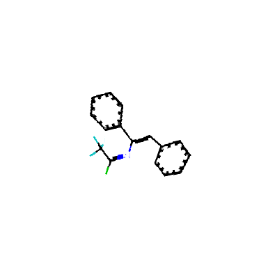 FC(F)(F)/C(Cl)=N\C(=C/c1ccccc1)c1ccccc1